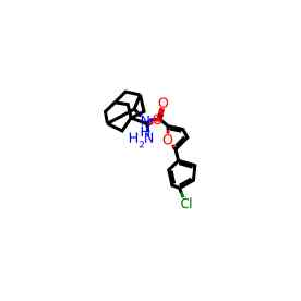 NC(=O)C12CC3CC(C1)C(NC(=O)c1ccc(-c4ccc(Cl)cc4)o1)C(C3)C2